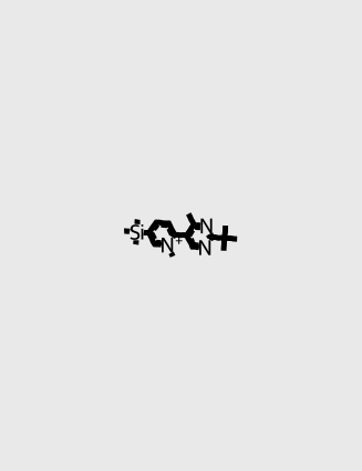 Cc1nc(C(C)(C)C)ncc1-c1ccc([Si](C)(C)C)c[n+]1C